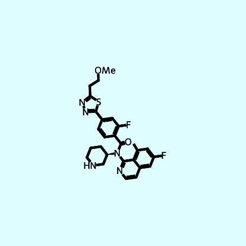 COCCc1nnc(-c2ccc(C(=O)N(c3nccc4cc(F)cc(C)c34)[C@@H]3CCCNC3)c(F)c2)s1